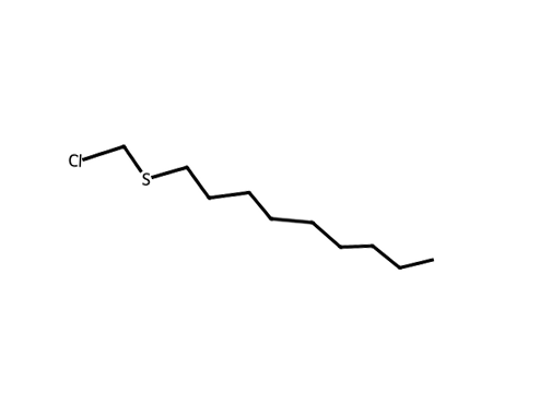 CCCCCCCCCSCCl